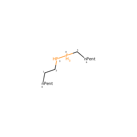 CCCCCCCP[PH3]CCCCCC